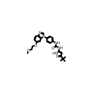 COCCOc1ccc2ncn(-c3ccc(NC(=O)Nc4cc(C(C)(C)C)n[nH]4)cc3)c2c1